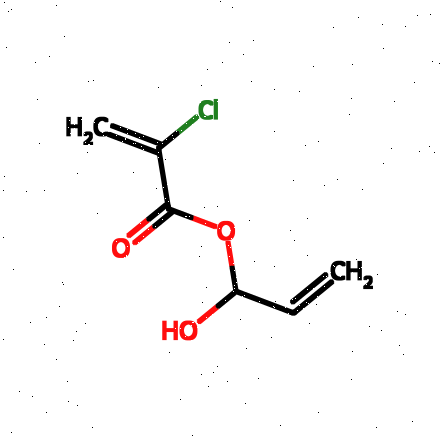 C=CC(O)OC(=O)C(=C)Cl